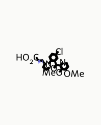 COc1ccnc(C(=O)c2cc(Cl)ccc2-n2cccc2/C=C/C(=O)O)c1OC